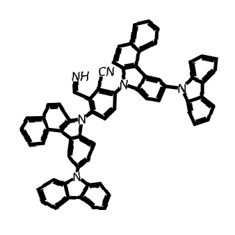 N#Cc1c(-n2c3ccc(-n4c5ccccc5c5ccccc54)cc3c3c4ccccc4ccc32)ccc(-n2c3ccc(-n4c5ccccc5c5ccccc54)cc3c3c4ccccc4ccc32)c1C=N